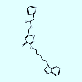 O=C(Cc1ccccc1)OCc1cc(=O)c(OCCCCCn2ccc3ccccc32)co1